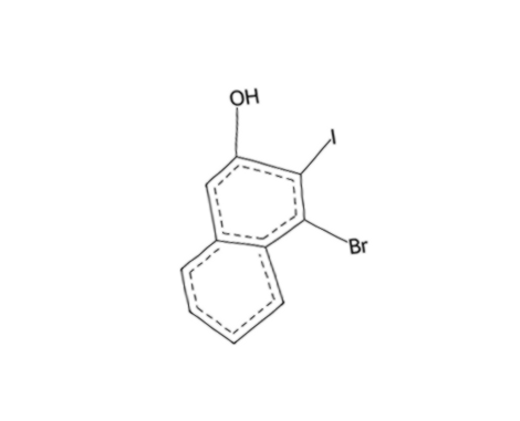 Oc1cc2ccccc2c(Br)c1I